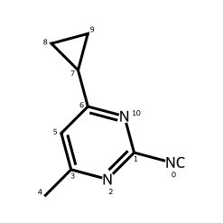 [C-]#[N+]c1nc(C)cc(C2CC2)n1